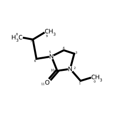 CCN1CCN(CC(C)C)C1=O